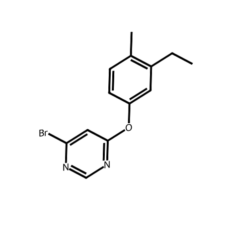 CCc1cc(Oc2cc(Br)ncn2)ccc1C